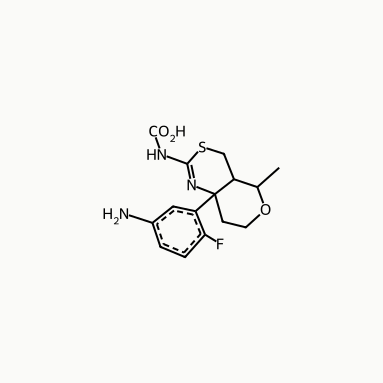 CC1OCCC2(c3cc(N)ccc3F)N=C(NC(=O)O)SCC12